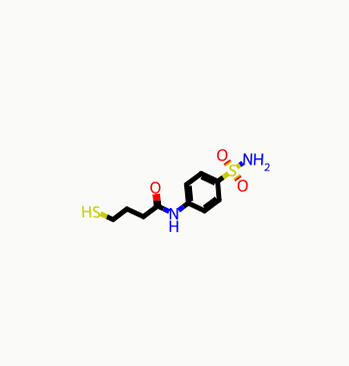 NS(=O)(=O)c1ccc(NC(=O)CCCS)cc1